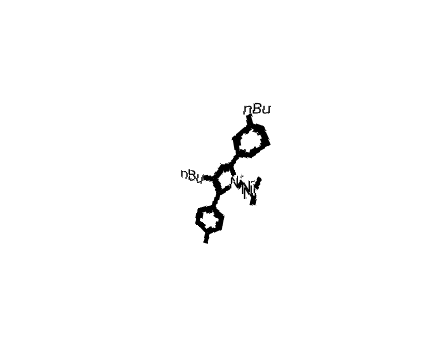 CCCCC1=C(c2ccc(C)cc2)[N+](=[N-])C(c2cccc(CCCC)c2)=C1.[CH3][Ni][CH3]